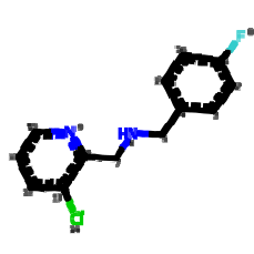 Fc1ccc(CNCc2ncccc2Cl)cc1